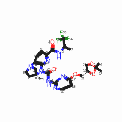 CC(NC(=O)c1ccc2c(n1)N(C(=O)Nc1nccc(OC[C@@H]3COC(C)(C)O3)n1)[C@H]1CCN2C1)C(F)(F)F